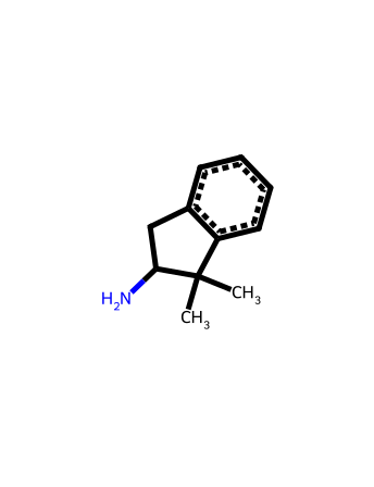 CC1(C)c2ccccc2CC1N